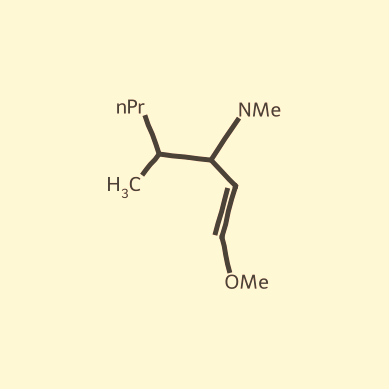 CCCC(C)C(/C=C/OC)NC